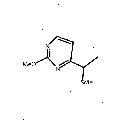 COc1nccc(C(C)SC)n1